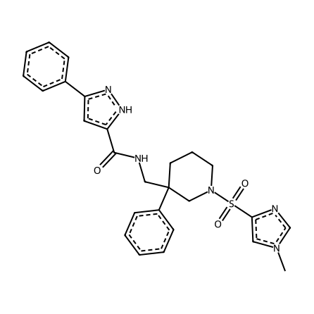 Cn1cnc(S(=O)(=O)N2CCCC(CNC(=O)c3cc(-c4ccccc4)n[nH]3)(c3ccccc3)C2)c1